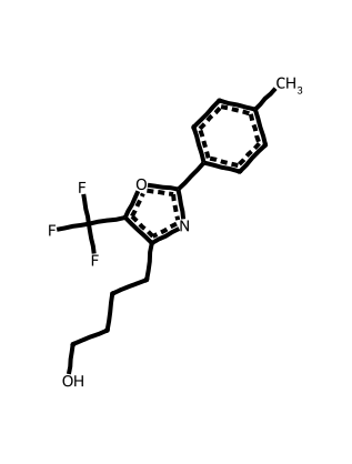 Cc1ccc(-c2nc(CCCCO)c(C(F)(F)F)o2)cc1